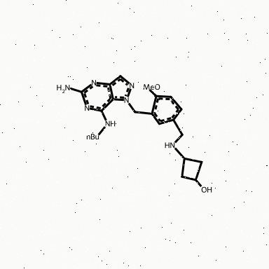 CCCCNc1nc(N)nc2cnn(Cc3cc(CNC4CC(O)C4)ccc3OC)c12